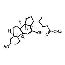 COC(=O)CCC(C)[C@H]1CC[C@H]2[C@@H]3CC[C@@H]4C[C@H](O)CC[C@]4(C)[C@H]3C[C@H](O)[C@]12C